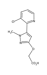 Cn1nc(OCC(=O)O)cc1-c1ncccc1Cl